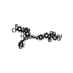 O=C1C=CC(N2C(=O)c3ccc(N4CCN(CCCCOc5cc6ncnc(Nc7ccc(F)c(Cl)c7)c6cc5OCCCN5C=COC=C5)CC4)cc3C2=O)C(=O)N1